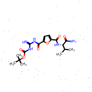 CC(C)[C@H](NC(=O)c1ccc(C(=O)NC(=N)NC(=O)OC(C)(C)C)o1)C(N)=O